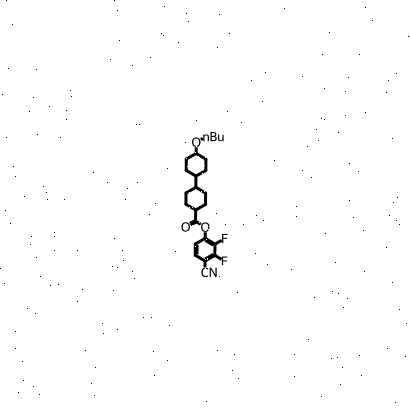 CCCCOC1CCC(C2CCC(C(=O)Oc3ccc(C#N)c(F)c3F)CC2)CC1